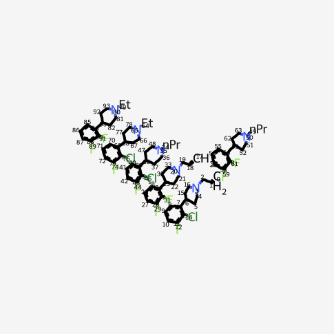 C=CCN1CCC(c2cccc(F)c2Cl)CC1.C=CCN1CCC(c2cccc(F)c2F)CC1.CCCN1CCC(c2cccc(F)c2Cl)CC1.CCCN1CCC(c2cccc(F)c2F)CC1.CCN1CCC(c2cccc(F)c2Cl)CC1.CCN1CCC(c2cccc(F)c2F)CC1